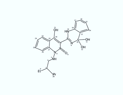 CCC(CNn1c(=O)c(C2=NS(O)(O)c3ccccc3N2)c(O)c2ccccc21)C(C)C